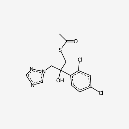 CC(=O)SCC(O)(Cn1cncn1)c1ccc(Cl)cc1Cl